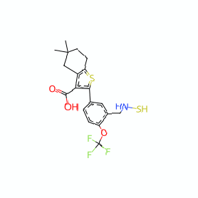 CC1(C)CCc2sc(-c3ccc(OC(F)(F)F)c(CNS)c3)c(C(=O)O)c2C1